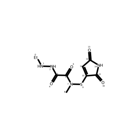 CCNNC(=O)C(=O)N(C)SC1=CC(=O)NC1=O